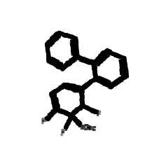 CCCCCCCCCCC1(F)C(F)=CC=C(c2ccccc2-c2ccccc2)C1F